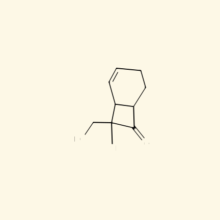 CCC1(Cl)C(=O)C2CCC=CC21